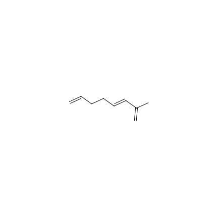 C=CCCC=CC(=C)C